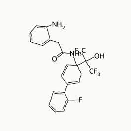 Nc1ccccc1CC(=O)NC1(C(O)(C(F)(F)F)C(F)(F)F)C=CC(c2ccccc2F)=CC1